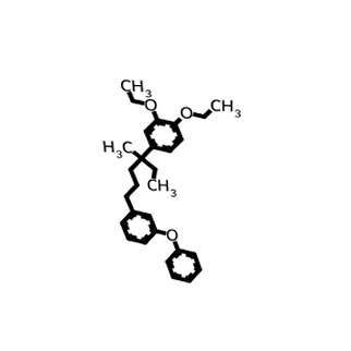 CCOc1ccc(C(C)(CC)CCCc2cccc(Oc3ccccc3)c2)cc1OCC